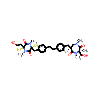 CN1C[C@](C)(Cc2ccc(CCc3ccc(C[C@]4(S)C(=O)N(C)[C@](S)(CCO)C(=O)N4C)cc3)cc2)C(=O)N(C)[C@](C)(CO)C1=O